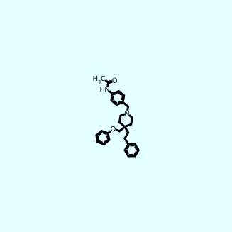 CC(=O)Nc1ccc(CN2CCC(CCc3ccccc3)(COc3ccccc3)CC2)cc1